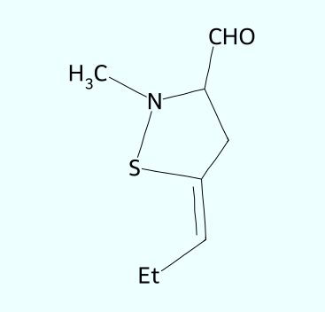 CCC=C1CC(C=O)N(C)S1